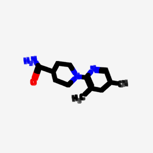 CC1=C(N2CCC(C(N)=O)CC2)N=CC(C#N)C1